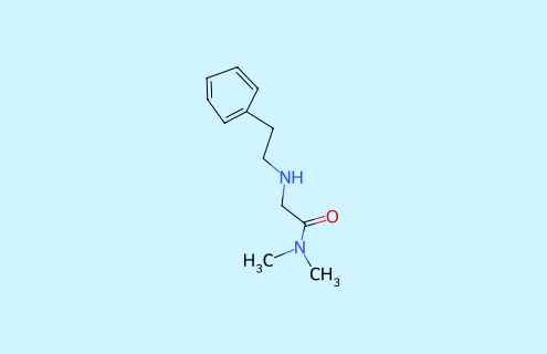 CN(C)C(=O)CNCCc1ccccc1